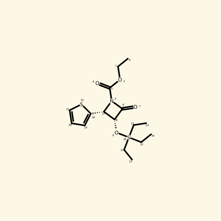 CCOC(=O)N1C(=O)[C@H](O[Si](CC)(CC)CC)[C@@H]1c1cccs1